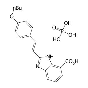 CCCCOc1ccc(C=Cc2nc3cccc(C(=O)O)c3[nH]2)cc1.O=P(O)(O)O